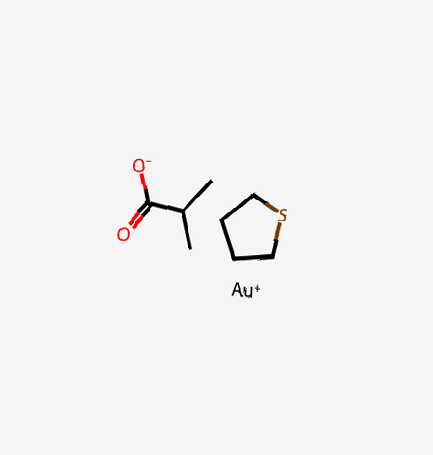 C1CCSC1.CC(C)C(=O)[O-].[Au+]